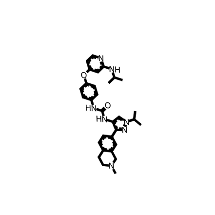 CC(C)Nc1cc(Oc2ccc(NC(=O)Nc3cn(C(C)C)nc3-c3ccc4c(c3)CN(C)CC4)cc2)ccn1